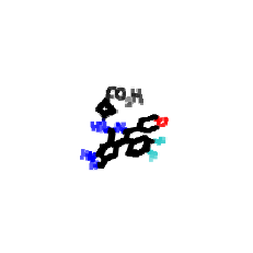 O=C(O)[C@H]1C[C@H](Nc2nc(C3CCOCC3)c(-c3ccc(F)c(F)c3)c3cc4cn[nH]c4cc23)C1